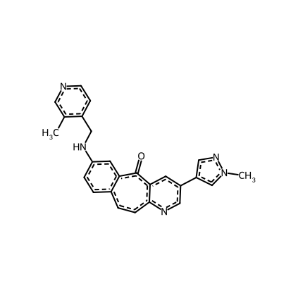 Cc1cnccc1CNc1ccc2ccc3ncc(-c4cnn(C)c4)cc3c(=O)c2c1